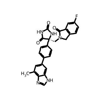 Cc1cc(-c2ccc([C@]3(CN4Cc5ccc(F)cc5C4=O)NC(=O)NC3=O)cc2)cc2[nH]cnc12